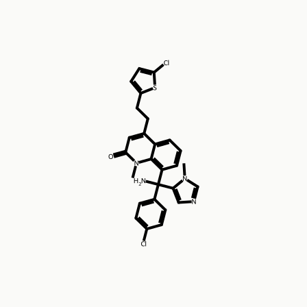 Cn1cncc1C(N)(c1ccc(Cl)cc1)c1cccc2c(CCc3ccc(Cl)s3)cc(=O)n(C)c12